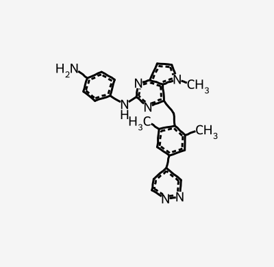 Cc1cc(-c2ccnnc2)cc(C)c1Cc1nc(Nc2ccc(N)cc2)nc2ccn(C)c12